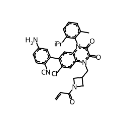 C=CC(=O)N1CC(Cn2c(=O)c(=O)n(-c3c(C)cccc3C(C)C)c3cc(-c4cc(N)ccc4C#N)c(Cl)cc32)C1